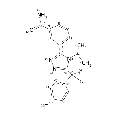 CC(C)n1c(-c2cccc(C(N)=O)c2)nnc1C1(c2ccc(F)cc2)CC1